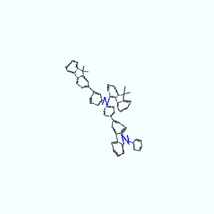 CC1(C)c2ccccc2-c2ccc(-c3cccc(N(c4ccc(-c5ccc6c(c5)c5ccccc5n6-c5ccccc5)cc4)c4cccc5c4-c4ccccc4C5(C)C)c3)cc21